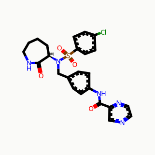 O=C(Nc1ccc(CN([C@@H]2CCCCNC2=O)S(=O)(=O)c2ccc(Cl)cc2)cc1)c1cnccn1